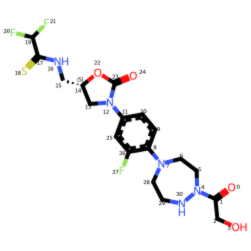 O=C(CO)N1CCN(c2ccc(N3C[C@H](CNC(=S)C(F)F)OC3=O)cc2F)CCN1